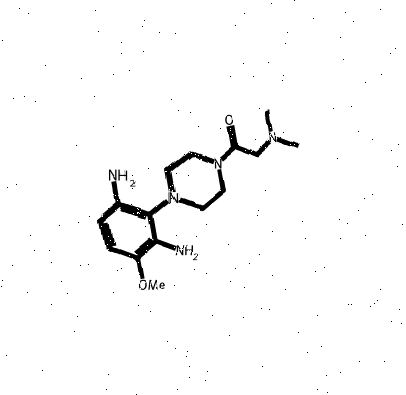 COc1ccc(N)c(N2CCN(C(=O)CN(C)C)CC2)c1N